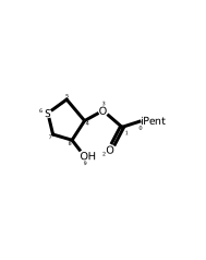 CCCC(C)C(=O)OC1CSCC1O